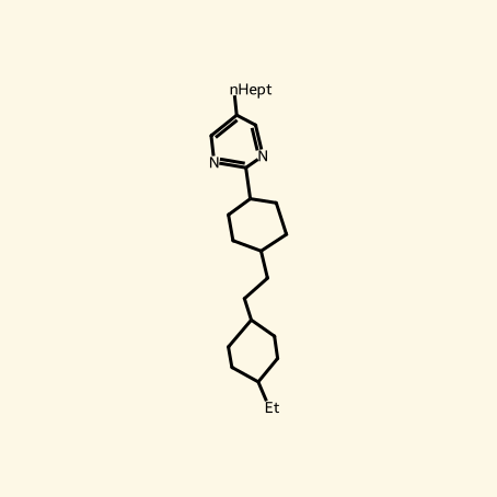 CCCCCCCc1cnc(C2CCC(CCC3CCC(CC)CC3)CC2)nc1